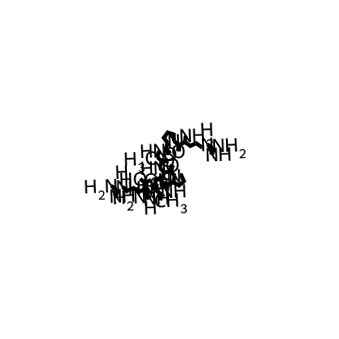 CC(NC(=O)C1CCCN1C(=O)C(N)CCCNC(=N)N)C(=O)NC(CCCNC(=N)N)C(=O)N1CCCC1C(=O)NC(C)C(=O)NC(CCCNC(=N)N)C(O)O